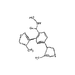 CC1=CSCC1c1ccc(C(=O)NO)c(-c2cscc2C)c1